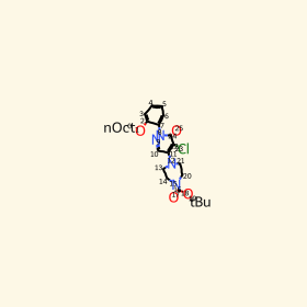 CCCCCCCCOc1ccccc1-n1ncc(N2CCN(C(=O)OC(C)(C)C)CC2)c(Cl)c1=O